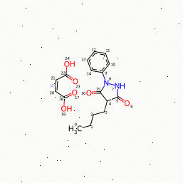 CCCCC1C(=O)NN(c2ccccc2)C1=O.O=C(O)/C=C\C(=O)O